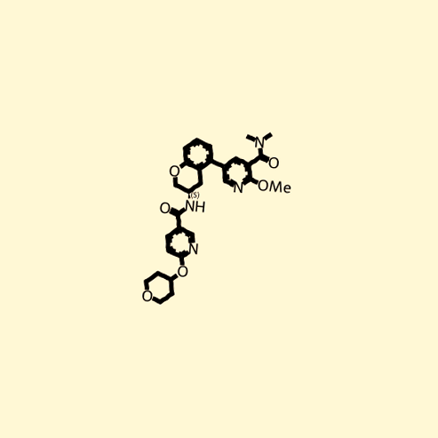 COc1ncc(-c2cccc3c2C[C@H](NC(=O)c2ccc(OC4CCOCC4)nc2)CO3)cc1C(=O)N(C)C